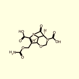 NC(=O)OCC1=C(C(=O)O)N2C(=O)[C@@H]3[C@H]2C1OCN3C(=O)O